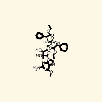 CCOC(=O)[C@@H](NP(=O)(N[C@H](C(=O)OCC)c1ccccc1)OC[C@H]1O[C@@H](n2cnc3c(OC)nc(N)nc32)C(C)(O)C1O)c1ccccc1